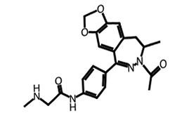 CNCC(=O)Nc1ccc(C2=NN(C(C)=O)C(C)Cc3cc4c(cc32)OCO4)cc1